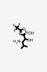 CC(C)[C@H](N)C(O)c1noc(C(F)(F)F)n1.Cl